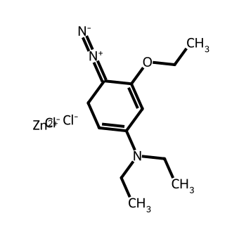 CCOC1=CC(N(CC)CC)=CCC1=[N+]=[N-].[Cl-].[Cl-].[Zn+2]